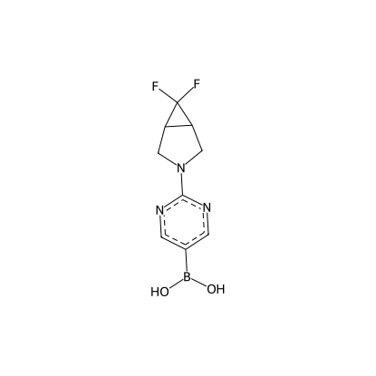 OB(O)c1cnc(N2CC3C(C2)C3(F)F)nc1